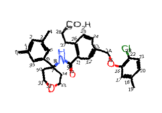 Cc1cc(C)cc(C2(NC(=O)c3cc(COc4cc(C)ccc4Cl)ccc3CCC(=O)O)CCOCC2)c1